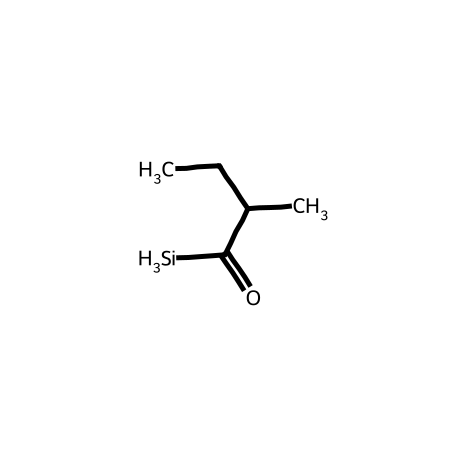 CCC(C)C(=O)[SiH3]